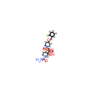 NC(=O)N1CCC(S(=O)(=O)N2CCC(OCc3ccccc3F)CC2)C(O)(C(=O)O)C1